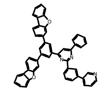 c1ccc(-c2cc(-c3cc(-c4ccc5c(c4)oc4ccccc45)cc(-c4ccc5c(c4)oc4ccccc45)c3)nc(-c3cccc(-c4cccnc4)c3)n2)cc1